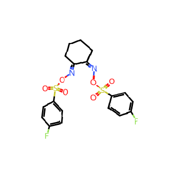 O=S(=O)(ON=C1CCCCC1=NOS(=O)(=O)c1ccc(F)cc1)c1ccc(F)cc1